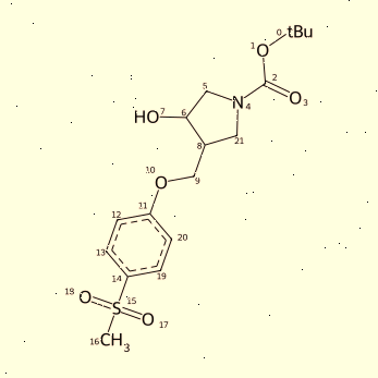 CC(C)(C)OC(=O)N1CC(O)C(COc2ccc(S(C)(=O)=O)cc2)C1